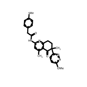 COc1ccc(C2(C)CCc3nc(NC(=O)Cc4ccc(SC)cc4)cc(C)c3C2=O)nn1